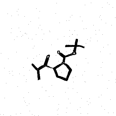 CC(C)C(=O)[C@H]1CCCN1C(=O)OC(C)(C)C